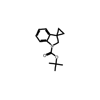 CC(C)(C)OC(=O)N1CC2(CC2)c2ccccc21